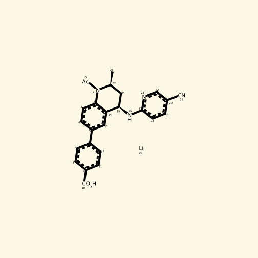 CC(=O)N1c2ccc(-c3ccc(C(=O)O)cc3)cc2[C@H](Nc2ccc(C#N)cn2)C[C@@H]1C.[Li]